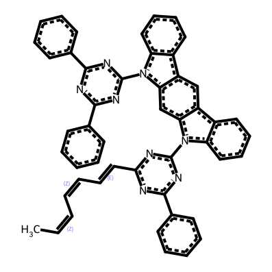 C\C=C/C=C\C=C\c1nc(-c2ccccc2)nc(-n2c3ccccc3c3cc4c5ccccc5n(-c5nc(-c6ccccc6)nc(-c6ccccc6)n5)c4cc32)n1